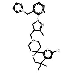 CC1=NN(c2ncccc2Cn2cccn2)CC1CN1CCC2(CC1)OCC(F)(F)c1cc(Cl)sc12